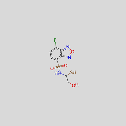 O=S(=O)(NC(S)CO)c1ccc(F)c2nonc12